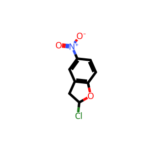 O=[N+]([O-])c1ccc2c(c1)CC(Cl)O2